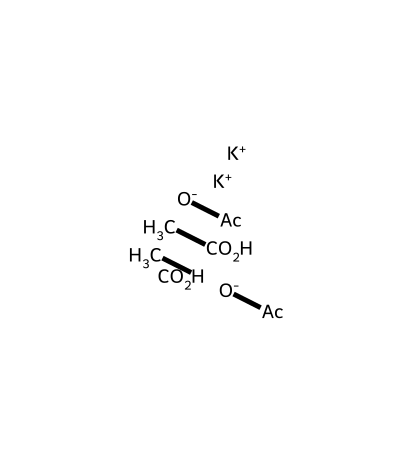 CC(=O)O.CC(=O)O.CC(=O)[O-].CC(=O)[O-].[K+].[K+]